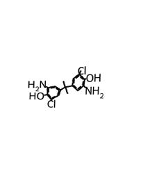 CC(C)(c1cc(N)c(O)c(Cl)c1)c1cc(N)c(O)c(Cl)c1